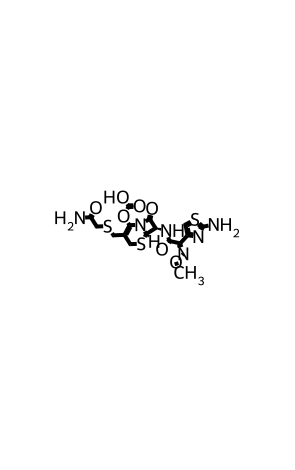 CO/N=C(\C(=O)N[C@@H]1C(=O)N2C(OC(=O)O)=C(CSCC(N)=O)CS[C@@H]12)c1csc(N)n1